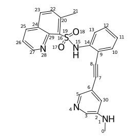 CNc1cncc(C#Cc2ccccc2NS(=O)(=O)c2c(C)ccc3cccnc23)c1